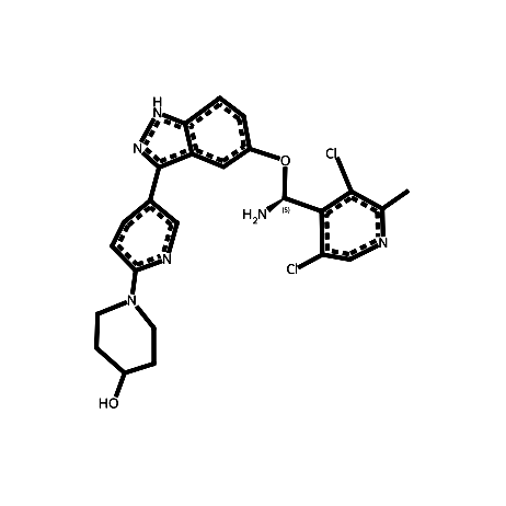 Cc1ncc(Cl)c([C@@H](N)Oc2ccc3[nH]nc(-c4ccc(N5CCC(O)CC5)nc4)c3c2)c1Cl